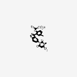 CCC(Oc1ccc(C)cc1-c1nsc2ccc(-n3c(=O)cc(C(F)(F)F)n(C)c3=O)cc12)C(=O)O